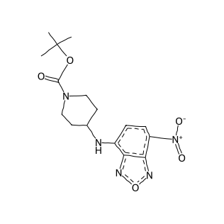 CC(C)(C)OC(=O)N1CCC(Nc2ccc([N+](=O)[O-])c3nonc23)CC1